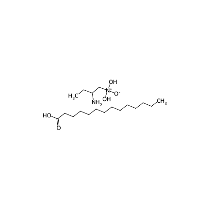 CCC(N)C[N+]([O-])(O)O.CCCCCCCCCCCCCC(=O)O